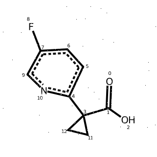 O=C(O)C1(c2ccc(F)cn2)CC1